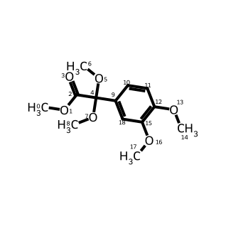 COC(=O)C(OC)(OC)c1ccc(OC)c(OC)c1